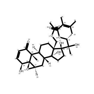 CC(=O)OC[C@]12CC[C@H]3[C@@H](C[C@H]4O[C@]45[C@@H](O)C=CC(=O)[C@]35C)[C@]1(O)CC[C@@]2(O)[C@@](C)(O)[C@H]1CC(C)=C(C)C(=O)O1